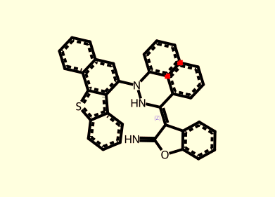 N=C1Oc2ccccc2/C1=C(/NN(c1ccccc1)c1cc2ccccc2c2sc3ccccc3c12)c1ccccc1